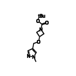 Cn1cc(COC2CN(C(=O)OC(C)(C)C)C2)cn1